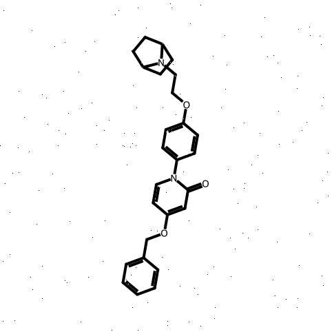 O=c1cc(OCc2ccccc2)ccn1-c1ccc(OCCN2C3CCC2CC3)cc1